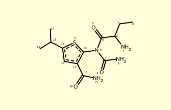 CCC(N)C(=O)N(C(N)=O)c1sc(C(C)C)cc1C(N)=O